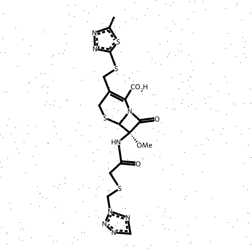 CO[C@@]1(NC(=O)CSCn2ncnn2)C(=O)N2C(C(=O)O)=C(CSc3nnc(C)s3)CSC21